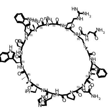 CCCC[C@H]1C(=O)N(C)[C@@H](CCCC)C(=O)N[C@@H](CCCNC(=N)N)C(=O)N[C@H](C(=O)NCC(N)=O)CSCC(=O)N[C@@H](Cc2ccccc2)C(=O)N(C)[C@@H](C)C(=O)N[C@@H](CC(N)=O)C(=O)N2CCCC2C(=O)N[C@@H](Cc2cnc[nH]2)C(=O)N[C@@H](CC(C)C)C(=O)N(C)[C@H](C)C(=O)N[C@@H](Cc2c[nH]c3ccccc23)C(=O)N[C@@H](CO)C(=O)N[C@@H](Cc2c[nH]c3ccccc23)C(=O)N1C